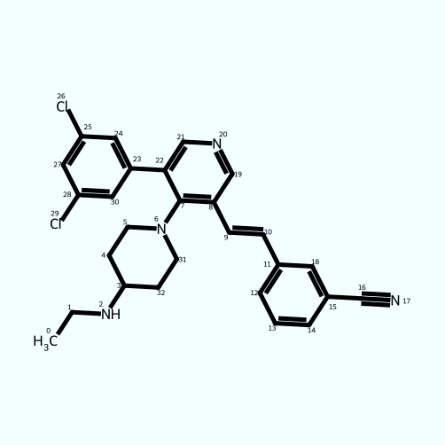 CCNC1CCN(c2c(C=Cc3cccc(C#N)c3)cncc2-c2cc(Cl)cc(Cl)c2)CC1